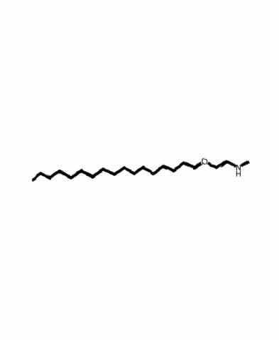 CCCCCCCCCCCCCCCCCOCCNC